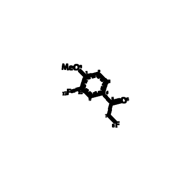 COc1ccc(C(=O)CF)cc1F